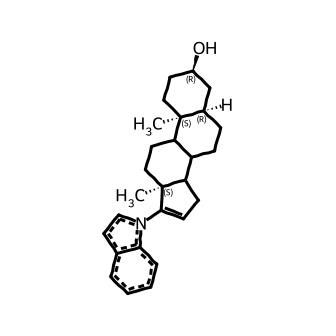 C[C@]12CCC3C(CC[C@@H]4C[C@H](O)CC[C@]34C)C1CC=C2n1ccc2ccccc21